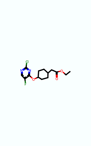 CCOC(=O)CC1CCC(Oc2nc(Cl)ncc2F)CC1